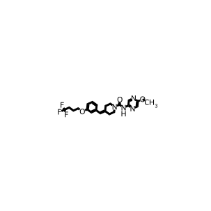 COc1cnc(NC(=O)N2CCC(=Cc3cccc(OCCCC(F)(F)F)c3)CC2)cn1